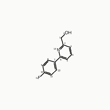 OCc1cccc(-c2ccc(F)cc2)n1